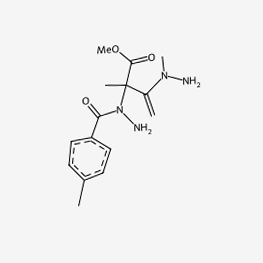 C=C(N(C)N)C(C)(C(=O)OC)N(N)C(=O)c1ccc(C)cc1